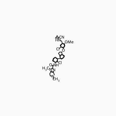 COc1cc(OC2CCc3c(-c4cccc(NC(=O)c5nc6c(n5C)CCN(C)C6)c4Cl)cccc32)c(Cl)cc1CNC1(C#N)CC1